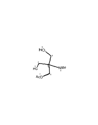 CNC(CO)(CO)COC(C)=O